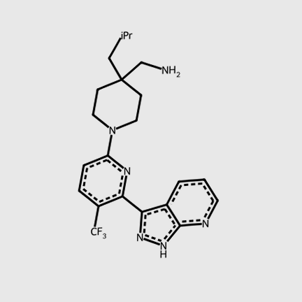 CC(C)CC1(CN)CCN(c2ccc(C(F)(F)F)c(-c3n[nH]c4ncccc34)n2)CC1